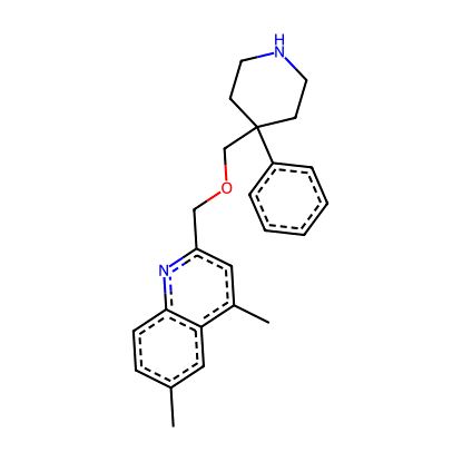 Cc1ccc2nc(COCC3(c4ccccc4)CCNCC3)cc(C)c2c1